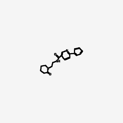 O=C(NCCN1CCCCC1=O)c1ccc(-c2ccccc2)nc1